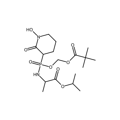 CC(C)OC(=O)C(C)NP(=O)(OCOC(=O)C(C)(C)C)C1CCCN(O)C1=O